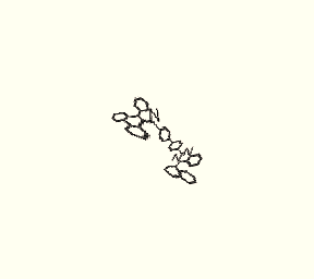 c1ccc2c(-c3nc(-c4ccc(-c5ccc(-c6nc7ccccc7c7c8ccccc8c8ccccc8c67)cc5)cc4)nc4ccccc34)cccc2c1